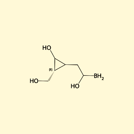 BC(O)CC1C(O)[C@H]1CO